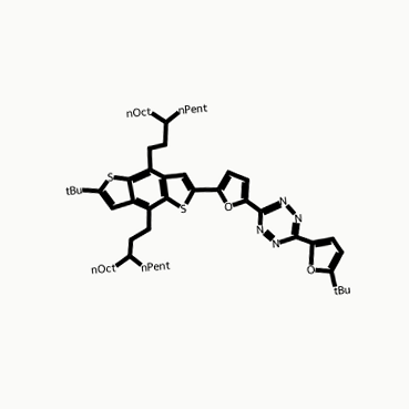 CCCCCCCCC(CCCCC)CCc1c2cc(C(C)(C)C)sc2c(CCC(CCCCC)CCCCCCCC)c2cc(-c3ccc(-c4nnc(-c5ccc(C(C)(C)C)o5)nn4)o3)sc12